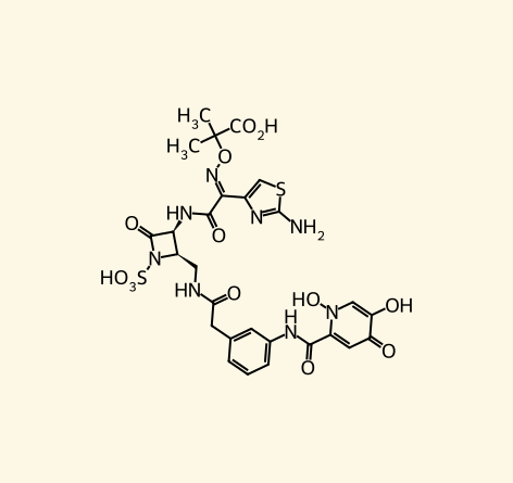 CC(C)(ON=C(C(=O)N[C@@H]1C(=O)N(S(=O)(=O)O)[C@@H]1CNC(=O)Cc1cccc(NC(=O)c2cc(=O)c(O)cn2O)c1)c1csc(N)n1)C(=O)O